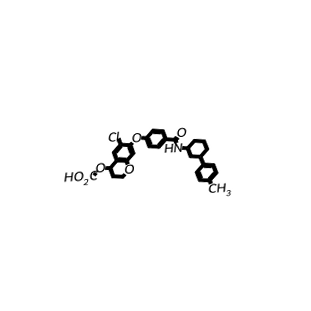 Cc1ccc(C2CCCC(NC(=O)c3ccc(Oc4cc5c(cc4Cl)C(OC(=O)O)CCO5)cc3)C2)cc1